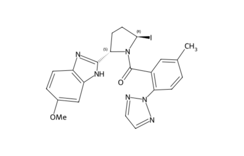 COc1ccc2nc([C@@H]3CC[C@@H](I)N3C(=O)c3cc(C)ccc3-n3nccn3)[nH]c2c1